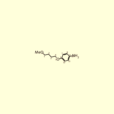 COCCCCOc1ccc(N)cc1